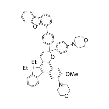 CCC1(CC)c2ccccc2-c2c1c1c(c3cc(OC)c(N4CCOCC4)cc23)OC(c2ccc(-c3cccc4c3oc3ccccc34)cc2)(c2ccc(N3CCOCC3)cc2)C=C1